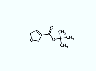 CC(C)(C)OC(=O)C1=CCOC1